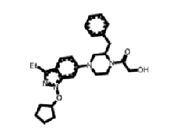 CCc1nn(OC2CCCC2)c2cc(N3CCN(C(=O)CO)C(Cc4ccccc4)C3)ccc12